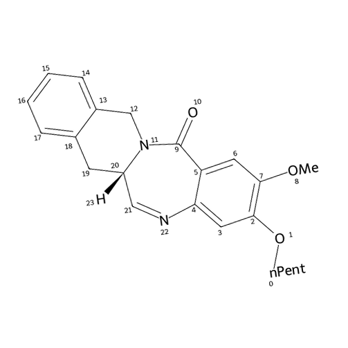 CCCCCOc1cc2c(cc1OC)C(=O)N1Cc3ccccc3C[C@H]1C=N2